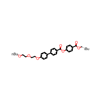 CCCCOCCOCCOc1ccc(-c2ccc(C(=O)Oc3ccc(C(=O)OC[C@@H](C)CC)cc3)cc2)cc1